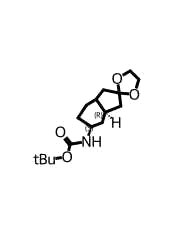 CC(C)(C)OC(=O)N[C@H]1CCC2CC3(C[C@H]2C1)OCCO3